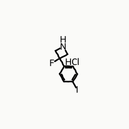 Cl.FC1(c2ccc(I)cc2)CNC1